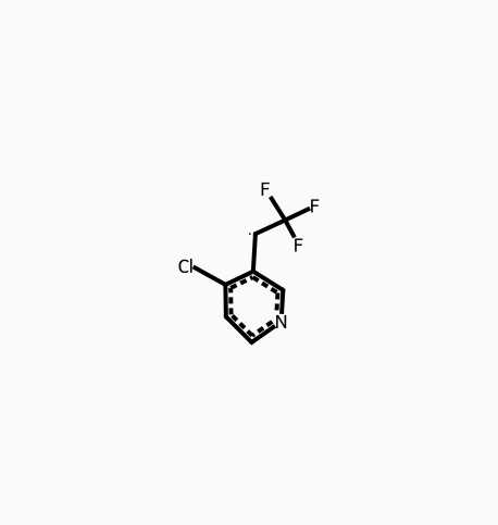 FC(F)(F)[CH]c1cnccc1Cl